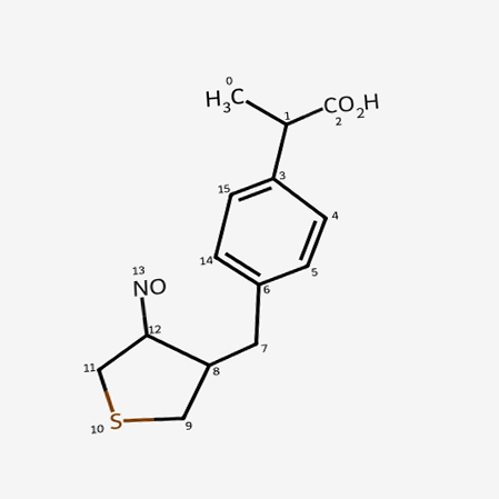 CC(C(=O)O)c1ccc(CC2CSCC2N=O)cc1